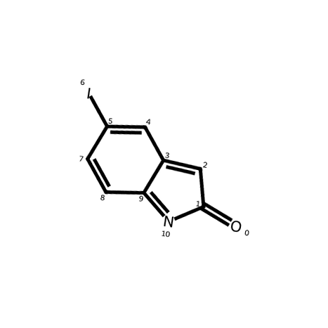 O=C1C=c2cc(I)ccc2=N1